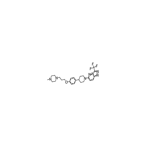 CN1CCN(CCCOc2ccc(C3CCN(c4ccc5nnc(C(F)(F)F)n5n4)CC3)cc2)CC1